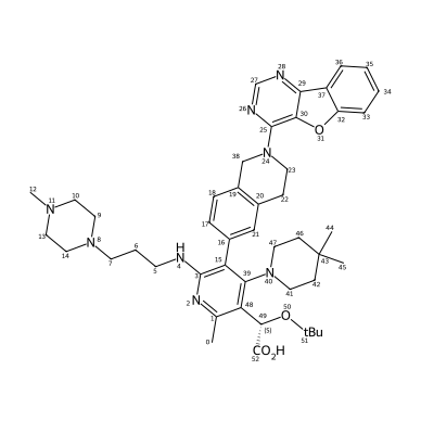 Cc1nc(NCCCN2CCN(C)CC2)c(-c2ccc3c(c2)CCN(c2ncnc4c2oc2ccccc24)C3)c(N2CCC(C)(C)CC2)c1[C@H](OC(C)(C)C)C(=O)O